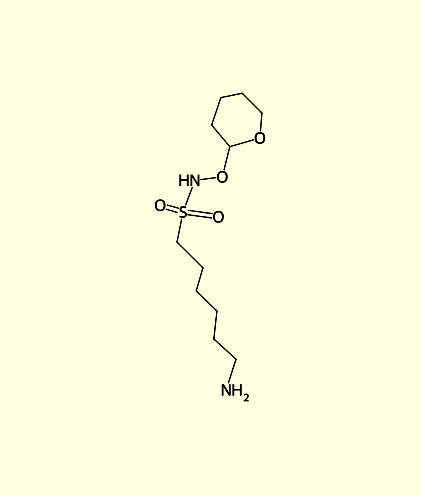 NCCCCCCS(=O)(=O)NOC1CCCCO1